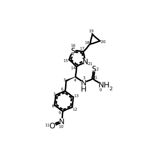 NC(=S)N[C@@H](Cc1ccc(N=O)cc1)c1csc(C2CC2)n1